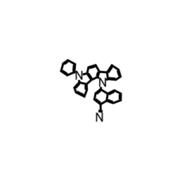 N#Cc1ccc(-n2c3ccccc3c3ccc4c(c5ccccc5n4-c4ccccc4)c32)c2ccccc12